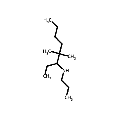 CCCCC(C)(C)C(CC)NCCC